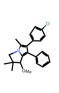 COC1c2c(-c3ccccc3)c(-c3ccc(Cl)cc3)c(C)n2CC1(C)C